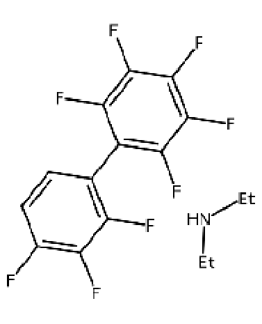 CCNCC.Fc1ccc(-c2c(F)c(F)c(F)c(F)c2F)c(F)c1F